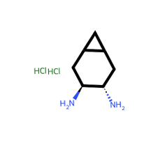 Cl.Cl.N[C@H]1CC2CC2C[C@@H]1N